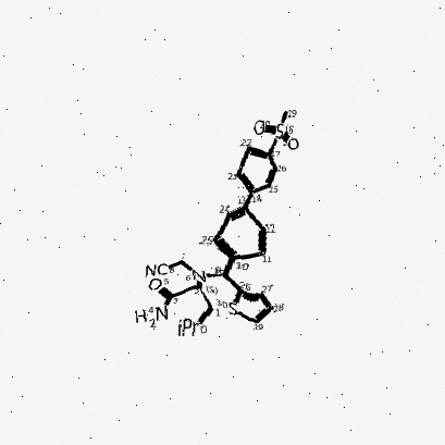 CC(C)C[C@@H](C(N)=O)N(CC#N)[C@@H](c1ccc(-c2ccc(S(C)(=O)=O)cc2)cc1)c1cccs1